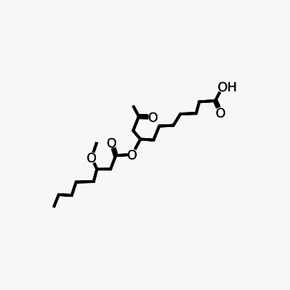 CCCCCC(CC(=O)OC(CCCCCCC(=O)O)CC(C)=O)OC